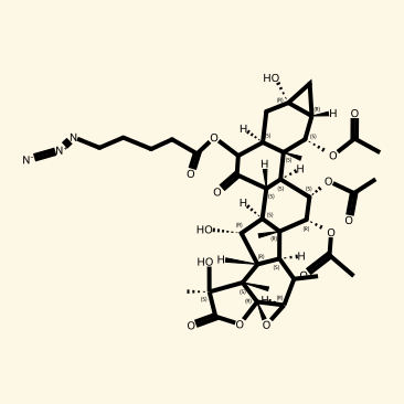 CC(=O)O[C@H]1[C@H]2[C@@H](C(=O)C(OC(=O)CCCCN=[N+]=[N-])[C@H]3C[C@@]4(O)C[C@@H]4[C@H](OC(C)=O)[C@]23C)[C@@H]2[C@@H](O)[C@@H]3[C@H](C(C)[C@H]4O[C@]45OC(=O)[C@@](C)(O)[C@]35C)[C@@]2(C)[C@H]1OC(C)=O